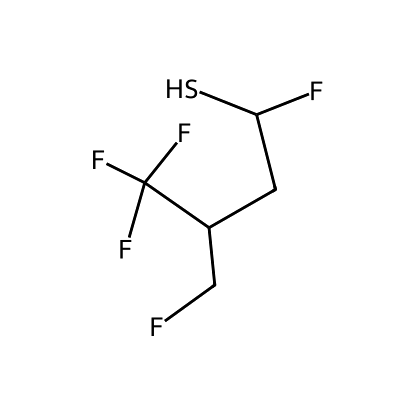 FCC(CC(F)S)C(F)(F)F